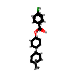 CCC[SiH]1CCC([C@H]2CC[C@H](OC(=O)c3ccc(F)cc3)CC2)CC1